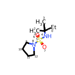 CCC(C)(C)NS(=O)(=O)N1CCCC1